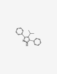 CC(C)c1c(-c2ccccc2)n[nH]c1-c1ccccc1